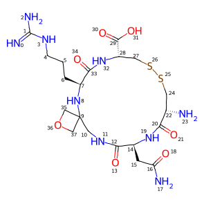 N=C(N)NCCC[C@@H]1NC2(CNC(=O)[C@H](CC(N)=O)NC(=O)[C@@H](N)CSSC[C@@H](C(=O)O)NC1=O)COC2